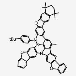 Cc1cc2c3c4c1c1cc5c(cc1n4-c1cc4c(cc1B3N(c1ccc(C(C)(C)C)cc1)c1cc3oc6cc7c(cc6c3cc1-2)C(C)(C)CCC7(C)C)oc1ccccc14)oc1ccccc15